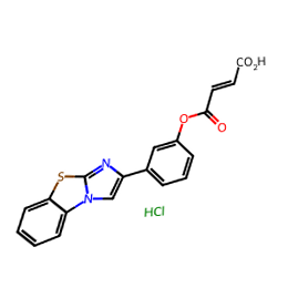 Cl.O=C(O)/C=C/C(=O)Oc1cccc(-c2cn3c(n2)sc2ccccc23)c1